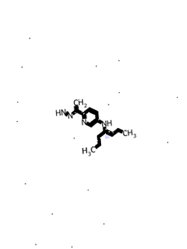 C=C(N=N)c1ccc(N/C(=C\CC)CCC)cn1